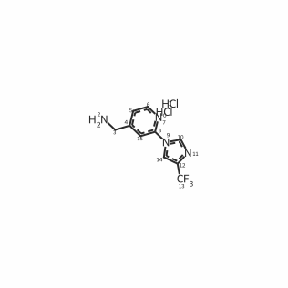 Cl.Cl.NCc1ccnc(-n2cnc(C(F)(F)F)c2)c1